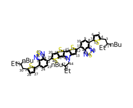 CCCCC(CC)Cc1ccc(-c2ccc(-c3cc4c(s3)c3sc5cc(-c6ccc(-c7ccc(CC(CC)CCCC)s7)c7nsnc67)sc5c3n4CC(CC)CCCC)c3nsnc23)s1